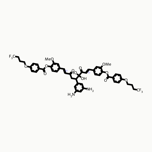 COc1cc(/C=C/C(=O)CC(c2cc(N)cc(N)c2)C(O)(O)C(=O)/C=C/c2ccc(OC(=O)c3ccc(OCCCC(F)(F)F)cc3)c(OC)c2)ccc1OC(=O)c1ccc(OCCCC(F)(F)F)cc1